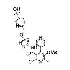 COc1c(C)nc(Cl)c(C(=O)Nc2nnc(OCc3ccc(C(C)(C)O)cn3)s2)c1-c1ccncc1